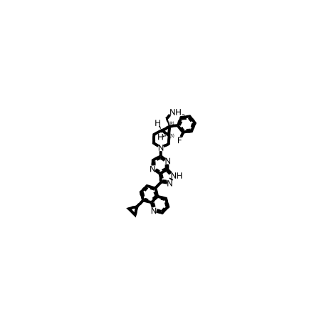 NC[C@]1(c2ccccc2F)[C@@H]2CCN(c3cnc4c(-c5ccc(C6CC6)c6ncccc56)n[nH]c4n3)C[C@@H]21